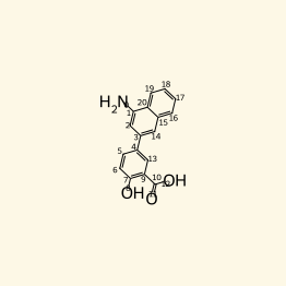 Nc1cc(-c2ccc(O)c(C(=O)O)c2)cc2ccccc12